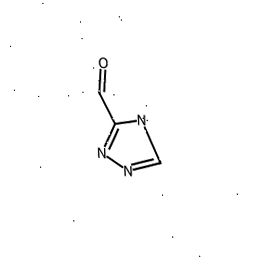 O=CC1=NN=C[N]1